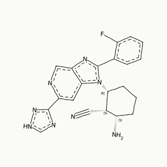 N#C[C@@H]1[C@H](n2c(-c3ccccc3F)nc3cnc(-c4nc[nH]n4)cc32)CCC[C@@H]1N